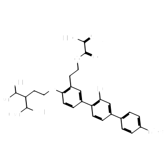 C=C(C)C(=O)OCCc1cc(-c2ccc(-c3ccc(CCCCC)cc3)cc2CC)ccc1OCCC(C(O)C(C)(C)C)C(O)C(C)(C)C